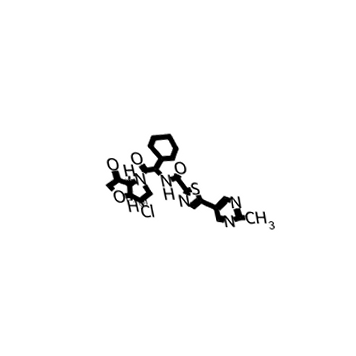 Cc1ncc(-c2cnc(C(=O)NC(C(=O)N3C[C@H](Cl)[C@H]4OCC(=O)[C@H]43)C3CCCCC3)s2)cn1